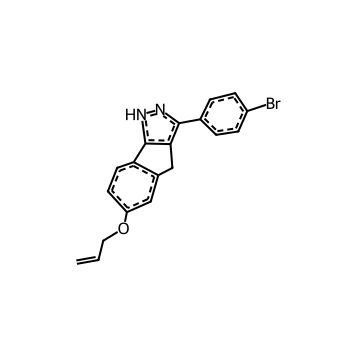 C=CCOc1ccc2c(c1)Cc1c(-c3ccc(Br)cc3)n[nH]c1-2